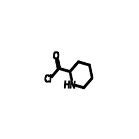 O=C(Cl)C1CCCCN1